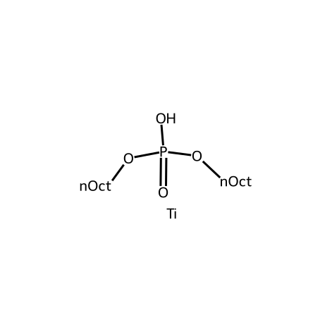 CCCCCCCCOP(=O)(O)OCCCCCCCC.[Ti]